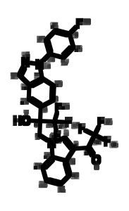 O=C(c1cn(CC(O)(c2ccc3c(cnn3-c3ccc(F)cc3)c2)C(F)(F)F)c2ccccc12)C(F)(F)F